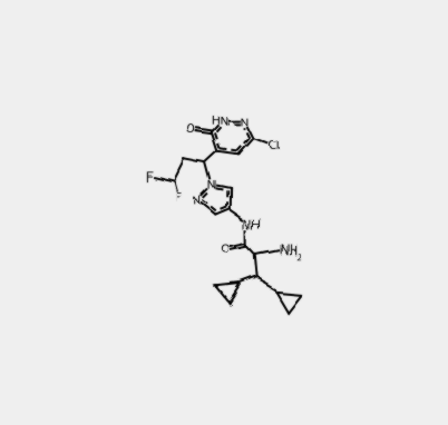 NC(C(=O)Nc1cnn(C(CC(F)F)c2cc(Cl)n[nH]c2=O)c1)C(C1CC1)C1CC1